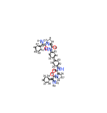 CN(C)[C@H](C(=O)N1CCC[C@H]1C(=O)Nc1ccc(-c2ccc(NC(=O)[C@@H]3CCCN3C(=O)[C@H](c3ccccc3)N(C)C)cc2)cc1)c1ccccc1